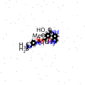 BN(C)Cc1cccc(NC(=O)OC[C@H](C)c2ccc(C(Nc3ccc4cc[nH]c(=O)c4c3)C(=O)O)cc2OC)c1